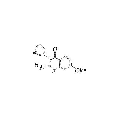 C=C1Oc2cc(OC)ccc2C(=O)C1c1cccnc1